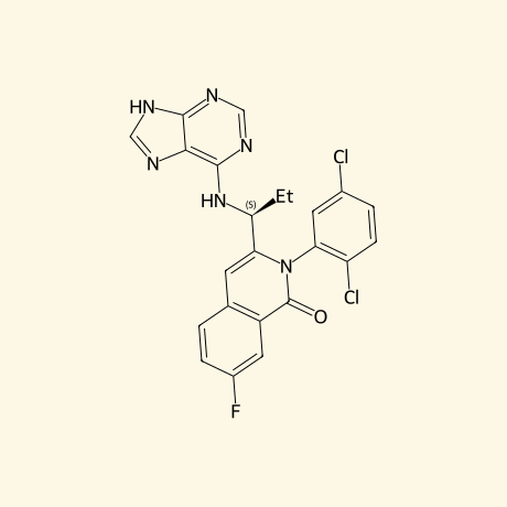 CC[C@H](Nc1ncnc2[nH]cnc12)c1cc2ccc(F)cc2c(=O)n1-c1cc(Cl)ccc1Cl